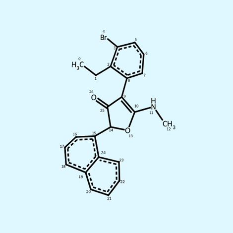 CCc1c(Br)cccc1C1=C(NC)OC(c2cccc3ccccc23)C1=O